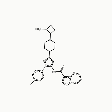 Cc1ccc(-n2nc(C3CCN(C4CCN4C(=O)O)CC3)cc2NC(=O)c2cnn3cccnc23)cc1